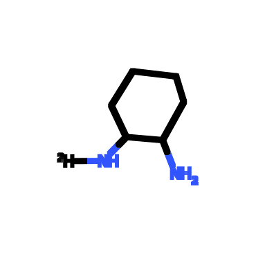 [2H]NC1CCCCC1N